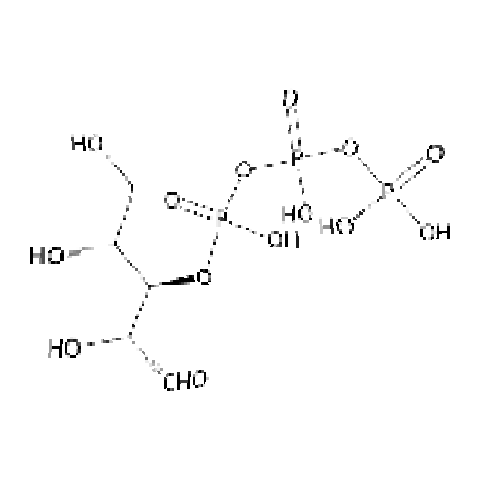 O=C[C@H](O)[C@H](OP(=O)(O)OP(=O)(O)OP(=O)(O)O)[C@H](O)CO